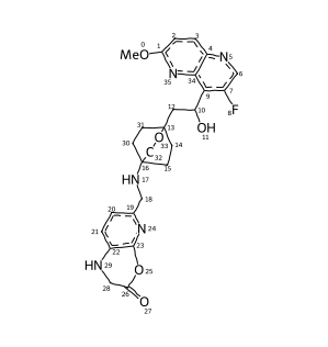 COc1ccc2ncc(F)c(C(O)CC34CCC(NCc5ccc6c(n5)OC(=O)CN6)(CC3)CO4)c2n1